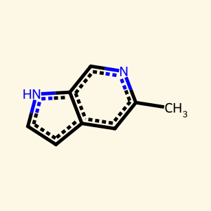 Cc1cc2cc[nH]c2cn1